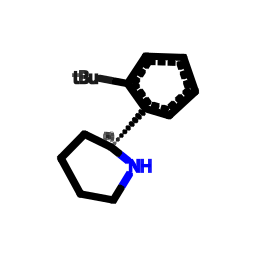 CC(C)(C)c1ccccc1[C@H]1CCCCN1